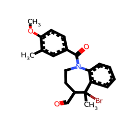 COc1ccc(C(=O)N2CCC(C=O)C(C)(Br)c3ccccc32)cc1C